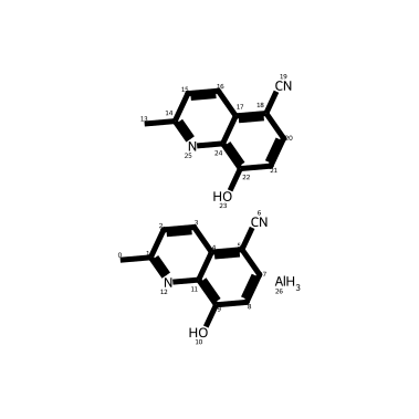 Cc1ccc2c(C#N)ccc(O)c2n1.Cc1ccc2c(C#N)ccc(O)c2n1.[AlH3]